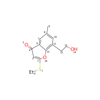 CCSc1cc(=O)c2cc(C)cc(CCO)c2o1